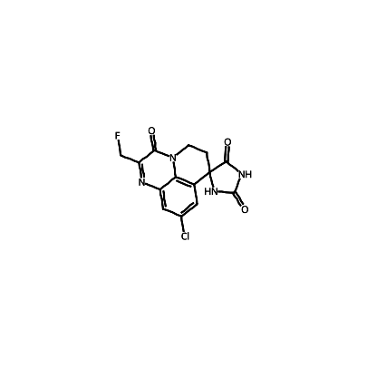 O=C1NC(=O)C2(CCn3c(=O)c(CF)nc4cc(Cl)cc2c43)N1